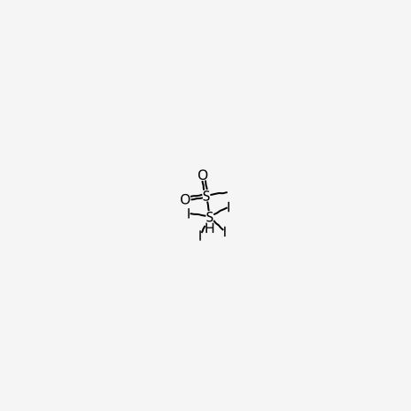 CS(=O)(=O)[SH](I)(I)(I)I